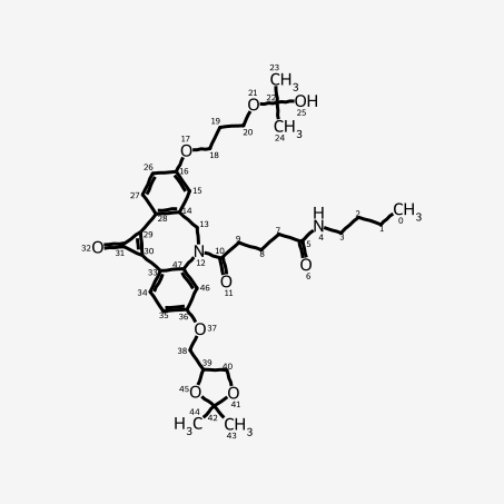 CCCCNC(=O)CCCC(=O)N1Cc2cc(OCCCOC(C)(C)O)ccc2-c2c(c2=O)-c2ccc(OCC3COC(C)(C)O3)cc21